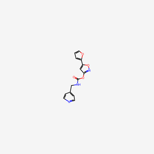 O=C(NCc1ccncc1)Oc1cc(-c2ccco2)on1